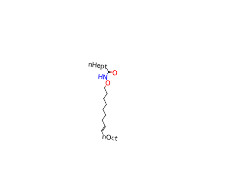 CCCCCCCCC=CCCCCCCCONC(=O)CCCCCCC